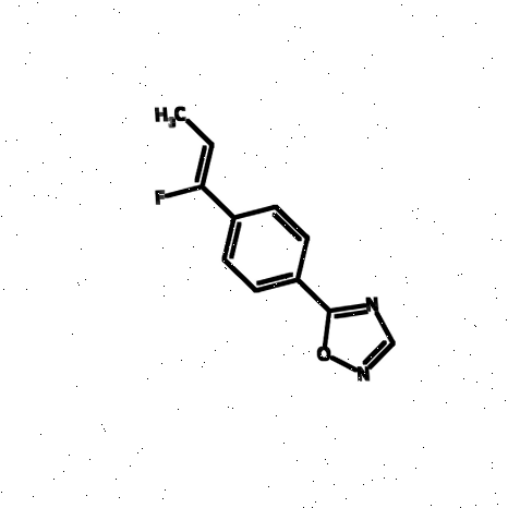 C/C=C(\F)c1ccc(-c2ncno2)cc1